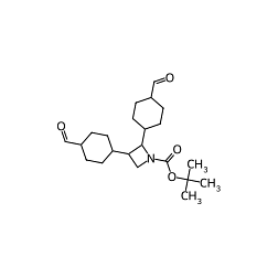 CC(C)(C)OC(=O)N1CC(C2CCC(C=O)CC2)C1C1CCC(C=O)CC1